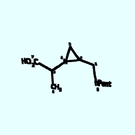 CCCCCCC1CN1C(C)C(=O)O